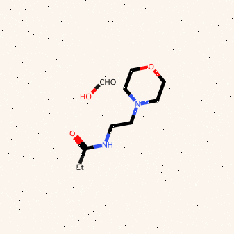 CCC(=O)NCCN1CCOCC1.O=CO